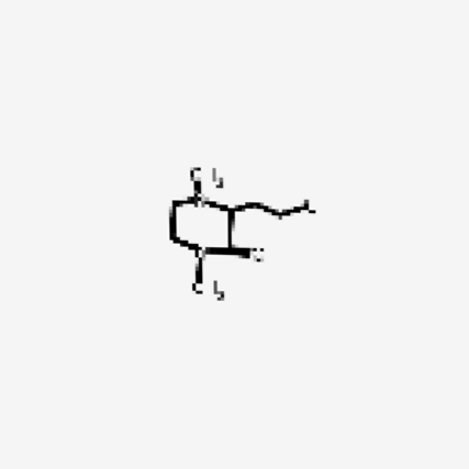 CN1CCN(C)C(CCCl)C1=O